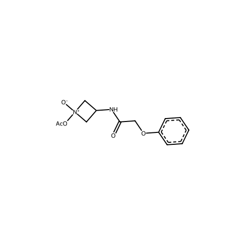 CC(=O)O[N+]1([O-])CC(NC(=O)COc2ccccc2)C1